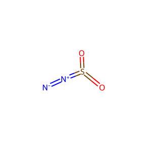 [N-]=[N+]=S(=O)=O